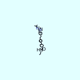 CCCCNC(=O)C1CC=C(c2ccc(CCC3CCN(/C(C/N=C/C(C)C)=N/C)CC3)cc2)CC1